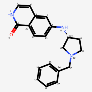 O=c1[nH]ccc2cc(N[C@@H]3CCN(Cc4ccccc4)C3)ccc12